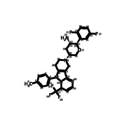 Cc1ccc(N2C3=C(CN([C@H]4CO[C@H](c5cc(F)ccc5F)[C@@H](N)C4)CC3)C3=NC=CC(C(F)(F)F)N32)cc1